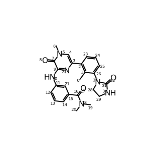 Cc1c(-c2cn(C)c(=O)c(Nc3cccc(C(=O)N(C)C)c3)n2)cccc1N1CCNC1=O